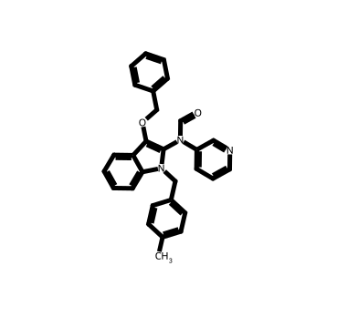 Cc1ccc(Cn2c(N(C=O)c3cccnc3)c(OCc3ccccc3)c3ccccc32)cc1